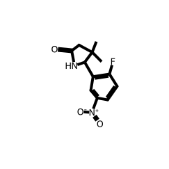 CC1(C)CC(=O)NC1c1cc([N+](=O)[O-])ccc1F